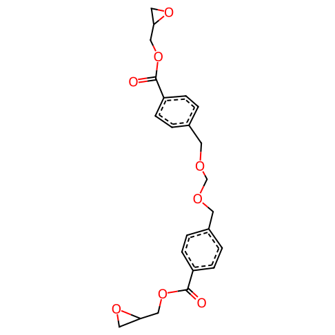 O=C(OCC1CO1)c1ccc(COCOCc2ccc(C(=O)OCC3CO3)cc2)cc1